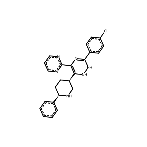 Clc1ccc(C2=NC(c3ncccn3)=C([C@@H]3CC[C@H](c4ccccc4)NC3)NN2)cc1